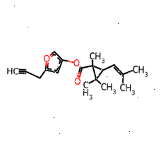 C#CCc1cc(OC(=O)C2(C)C(C=C(C)C)C2(C)C)co1